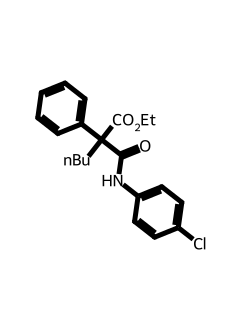 CCCCC(C(=O)Nc1ccc(Cl)cc1)(C(=O)OCC)c1ccccc1